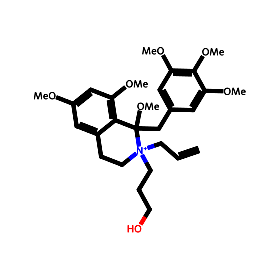 C=CC[N+]1(CCCO)CCc2cc(OC)cc(OC)c2C1(Cc1cc(OC)c(OC)c(OC)c1)OC